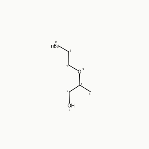 CCCCCCOC(C)CO